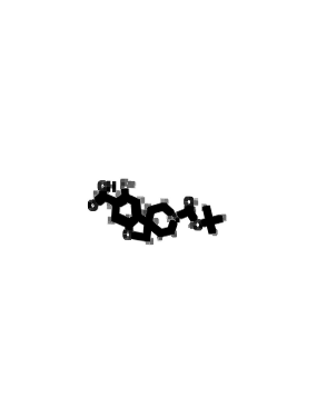 CC(C)(C)OC(=O)N1CCC2(CC1)COc1cc(C(=O)O)c(F)cc12